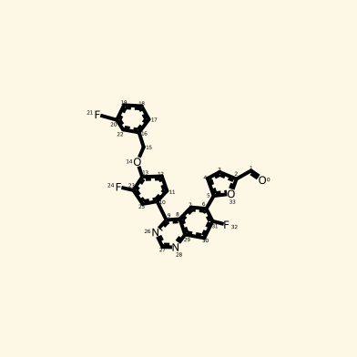 O=Cc1ccc(-c2cc3c(-c4ccc(OCc5cccc(F)c5)c(F)c4)ncnc3cc2F)o1